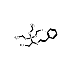 CCO[Si](OCC)(OCC)C(CC)O/C=C/c1ccccc1